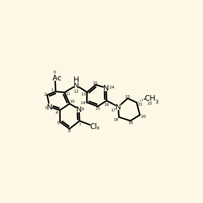 CC(=O)c1cnc2ccc(Cl)nc2c1Nc1ccc(N2CCC[C@@H](C)C2)nc1